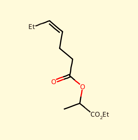 CC/C=C\CCC(=O)OC(C)C(=O)OCC